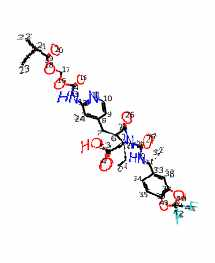 CC[C@@]1(C(=O)O)[C@@H](Cc2ccnc(NC(=O)OCOC(=O)C(C)C)c2)C(=O)N1C(=O)N[C@H](C)c1ccc2c(c1)OC(F)(F)O2